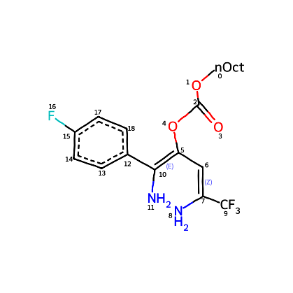 CCCCCCCCOC(=O)OC(/C=C(\N)C(F)(F)F)=C(/N)c1ccc(F)cc1